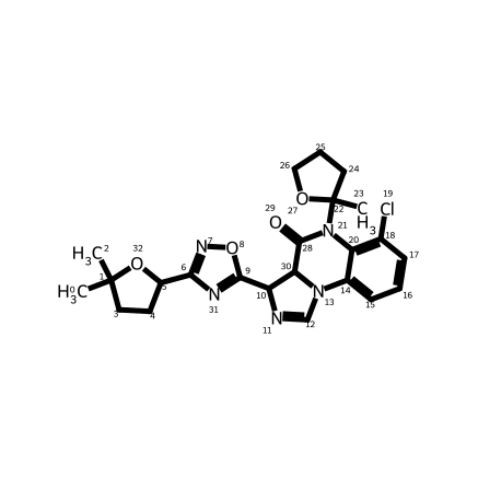 CC1(C)CCC(c2noc(C3N=CN4c5cccc(Cl)c5N(C5(C)CCCO5)C(=O)C34)n2)O1